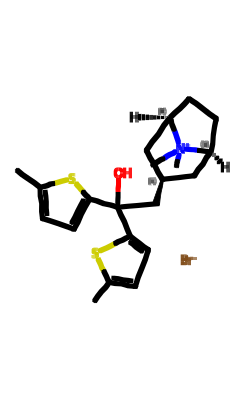 Cc1ccc(C(O)(C[C@H]2C[C@H]3CC[C@@H](C2)[N+]3(C)C)c2ccc(C)s2)s1.[Br-]